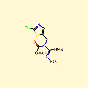 CN/C(=N\[N+](=O)[O-])N(Cc1cnc(Cl)s1)C(=O)OC